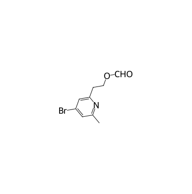 Cc1cc(Br)cc(CCOC=O)n1